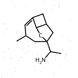 CC1C=C2CC3CC(C(C)N)(C1)CC23